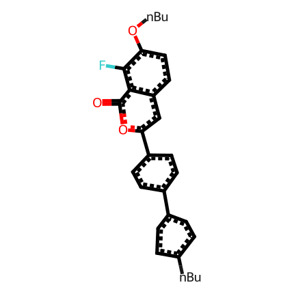 CCCCOc1ccc2cc(-c3ccc(-c4ccc(CCCC)cc4)cc3)oc(=O)c2c1F